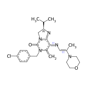 C=c1/c(=N\C=C(/C)N2CCOCC2)c2n(c(=O)n1Cc1ccc(Cl)cc1)C[C@@H](C(C)C)N=2